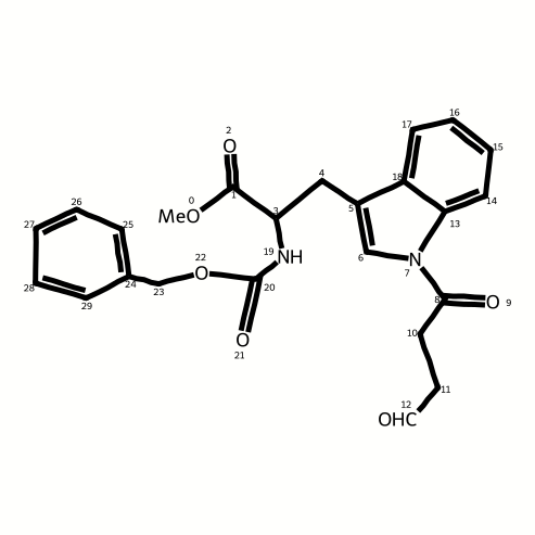 COC(=O)C(Cc1cn(C(=O)CCC=O)c2ccccc12)NC(=O)OCc1ccccc1